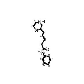 O=C(CCCCC1CNCC[N]1)Nc1ccccc1